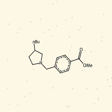 CCCCC1CCN(Cc2ccc(C(=O)OC)cc2)C1